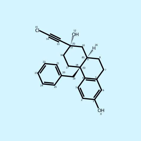 Oc1ccc2c(c1)CC[C@@H]1C[C@](O)(C#CCl)CC[C@@]21Cc1ccccc1